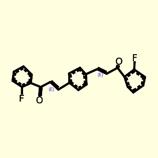 O=C(/C=C/c1ccc(/C=C/C(=O)c2ccccc2F)cc1)c1ccccc1F